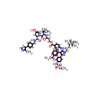 CCS(=O)(=O)Nc1ccc(-c2nn(COCC[Si](C)(C)C)c(Nc3ccc(C(=O)OCCC(=O)NC(C(=O)N4C[C@H](O)C[C@H]4C(=O)NCc4ccc(-c5scnc5C)cc4)C(C)(C)C)cn3)c2C(N)=O)cc1OC(C)c1ccc(F)cc1